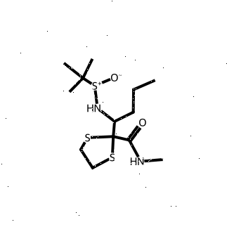 CCCC(N[S+]([O-])C(C)(C)C)C1(C(=O)NC)SCCS1